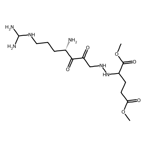 COC(=O)CCC(NNCC(=O)C(=O)[C@@H](N)CCCNC(N)N)C(=O)OC